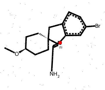 CO[C@H]1CC[C@]2(CC1)Cc1ccc(Br)cc1[C@]21COC(N)=N1